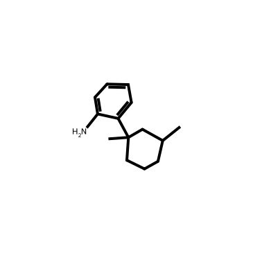 CC1CCCC(C)(c2ccccc2N)C1